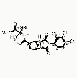 CC[C@H](C)[C@](C)(NC(=O)N1CC2CC1[C@H]1C(=O)N(c3ccc(C#N)c(Cl)c3C)C(=O)N21)C(=O)OC